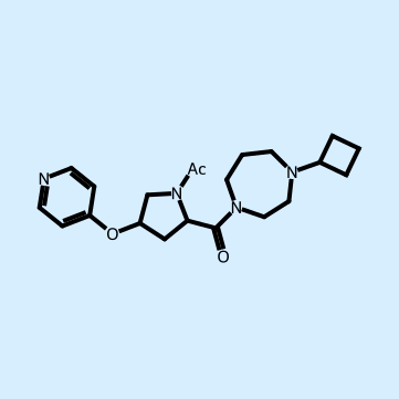 CC(=O)N1CC(Oc2ccncc2)CC1C(=O)N1CCCN(C2CCC2)CC1